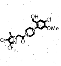 COc1cc(N2CCN(C(=O)Cn3nc(C(F)(F)F)c(Cl)c3C)CC2)c(CO)cc1Cl